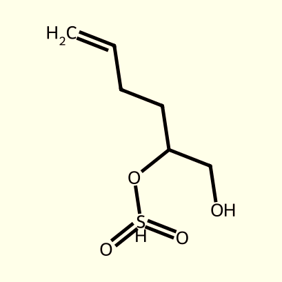 C=CCCC(CO)O[SH](=O)=O